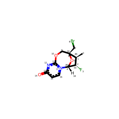 C[C@H]1[C@H](F)[C@H]2O[C@]1(CBr)COc1nc(=O)ccn12